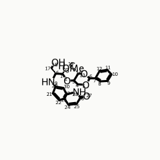 CO[C@@H](OC1COC(c2ccccc2)O[C@H]1C)[C@H](CO)Nc1ccc2ccc(=O)[nH]c2c1